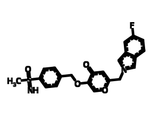 CS(=N)(=O)c1ccc(COc2coc(Cn3cc4ccc(F)cc4c3)cc2=O)cc1